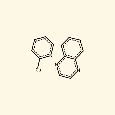 [Cu][c]1ccccn1.c1ccc2nccnc2c1